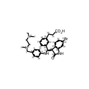 CN(C)CCN(C)Cc1ccc(N/C(=C2\C(=O)Nc3cc(Br)ccc32)c2cccc(CCC(=O)O)c2)cc1